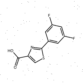 O=C(O)c1csc(-c2cc(F)cc(F)c2)n1